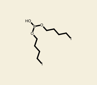 OB(OCCCCI)OCCCCI